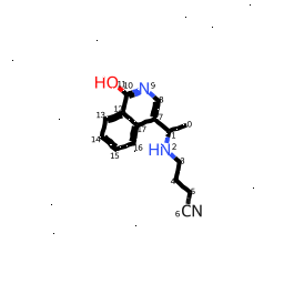 CC(NCCCC#N)c1cnc(O)c2ccccc12